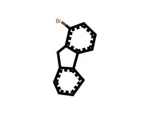 Brc1cccc2c1[CH]c1ccccc1-2